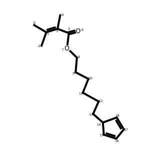 CC(C)=C(C)C(=O)OCCCCCCC1C=CC=C1